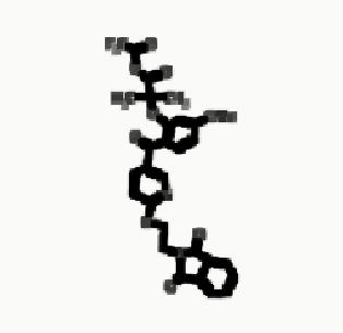 COc1ccc(C(=O)c2ccc(OCCN3C(=O)c4ccccc4C3=O)nc2)c(OC(C)(C)C(=O)OC(=O)C(F)(F)F)c1